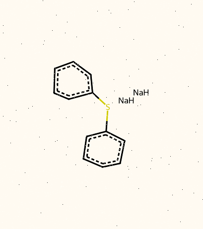 [NaH].[NaH].c1ccc(Sc2ccccc2)cc1